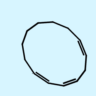 [C]1=CC=CCC=CCCCCCC1